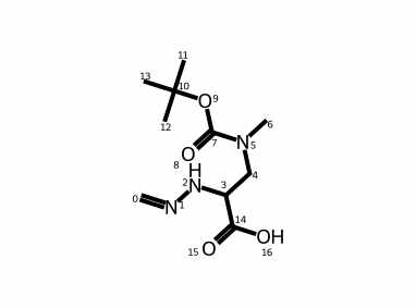 C=NNC(CN(C)C(=O)OC(C)(C)C)C(=O)O